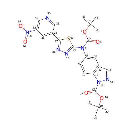 CC(C)(C)OC(=O)N(c1ccc2c(cnn2C(=O)OC(C)(C)C)c1)c1nnc(-c2cncc([N+](=O)[O-])c2)s1